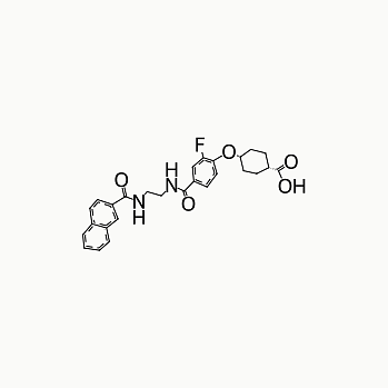 O=C(NCCNC(=O)c1ccc2ccccc2c1)c1ccc(O[C@H]2CC[C@@H](C(=O)O)CC2)c(F)c1